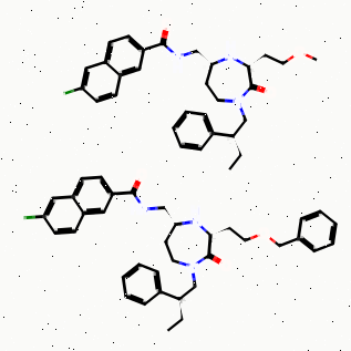 CC[C@H](CN1CC[C@@H](CNC(=O)c2ccc3cc(Cl)ccc3c2)N[C@@H](CCOC)C1=O)c1ccccc1.CC[C@H](CN1CC[C@@H](CNC(=O)c2ccc3cc(Cl)ccc3c2)N[C@@H](CCOCc2ccccc2)C1=O)c1ccccc1